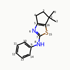 CC1(C)CCc2nc(Nc3ccccc3)sc21